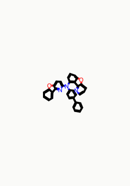 c1ccc(-c2ccc(N(c3ccc4oc5ccccc5c4n3)c3cccc4oc5cccnc5c34)cc2)cc1